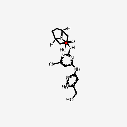 O=C(O)N1[C@@H]2CC[C@H]1CC(Nc1nc(Cl)cc(Nc3cc(CO)[nH]n3)n1)C2